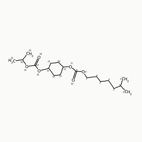 CC(C)CCCCCOC(=O)OC1CCC(OC(=O)OC(C)C)CC1